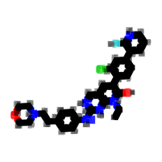 CCn1c(=O)c(-c2ccc(-c3cccnc3F)cc2Cl)cc2cnc(Nc3ccc(CCN4CCOCC4)cc3)nc21